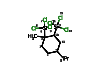 CC(C)C1CCC(C)([Si](Cl)(Cl)Cl)C([Si](Cl)(Cl)Cl)C1